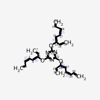 C=C/C=C\C=C(/C=C)Oc1nc(O/C(C=C)=C/C=C\C=C)nc(O/C(C=C)=C/C=C\C=C)n1